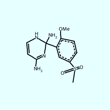 COc1ccc(S(C)(=O)=O)cc1C1(N)N=C(N)C=CN1